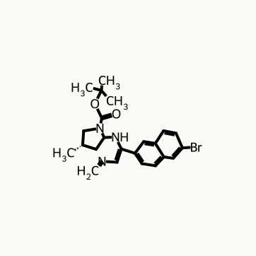 C=N/C=C(\NC1C[C@H](C)CN1C(=O)OC(C)(C)C)c1ccc2cc(Br)ccc2c1